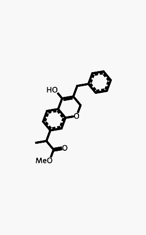 COC(=O)C(C)c1ccc2c(c1)OCC(Cc1ccccc1)=C2O